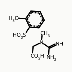 CN(CC(=O)O)C(=N)N.Cc1ccccc1S(=O)(=O)O